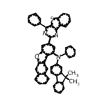 CC1(C)c2ccccc2-c2ccc(N(c3ccccc3)c3cc(-c4nc(-c5ccccc5)c5sc6ccccc6c5n4)cc4oc5cc6ccccc6cc5c34)cc21